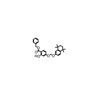 CC1(C)CCC(C)(C)c2cc(OCOc3ccc(C(=O)OCc4ccccc4)c(O)c3)ccc21